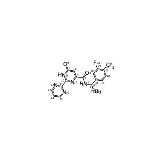 CC(C)(C)[C@@H](NC(=O)c1cc(=O)[nH]c(-c2ncccn2)n1)c1ccc(C(F)(F)F)c(F)c1